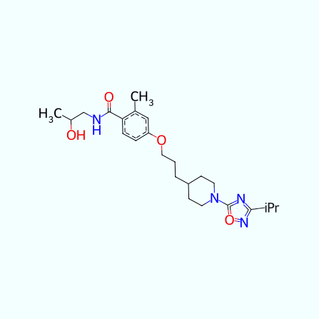 Cc1cc(OCCCC2CCN(c3nc(C(C)C)no3)CC2)ccc1C(=O)NCC(C)O